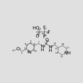 COCc1ccc(CNC(=O)NCC2CCNCC2)cn1.O=C(O)C(F)(F)F